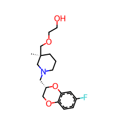 C[C@]1(COCCO)CCCN(C[C@H]2COc3ccc(F)cc3O2)C1